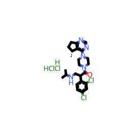 CC(C)NCC(C(=O)N1CCN(c2ncnc3c2[C@H](C)CC3)CC1)c1ccc(Cl)cc1Cl.Cl.Cl